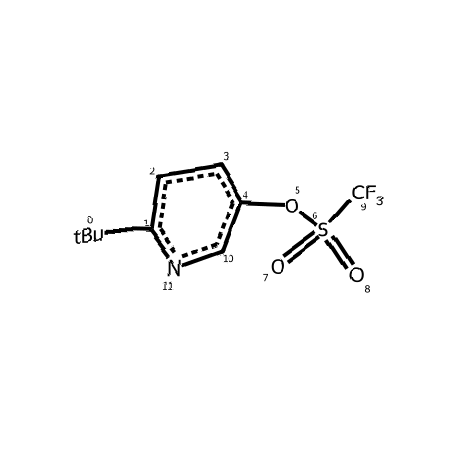 CC(C)(C)c1ccc(OS(=O)(=O)C(F)(F)F)cn1